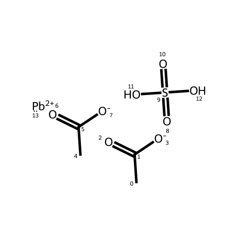 CC(=O)[O-].CC(=O)[O-].O=S(=O)(O)O.[Pb+2]